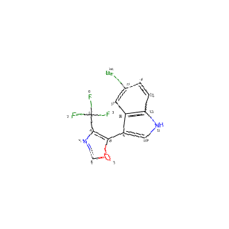 FC(F)(F)c1ncoc1-c1c[nH]c2ccc(Br)cc12